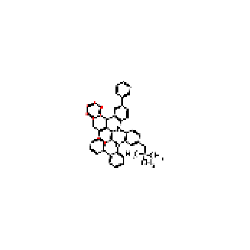 CC(C)(C)Cc1ccc2c(c1)N(c1ccccc1-c1ccccc1)c1ccc3c4c1N2c1ccc(-c2ccccc2)cc1C41c2ccccc2C3c2ccccc21